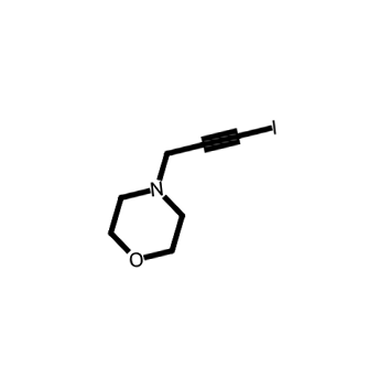 IC#CCN1CCOCC1